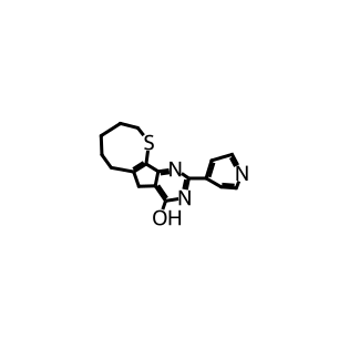 Oc1nc(-c2ccncc2)nc2c1CC1=C2SCCCCC1